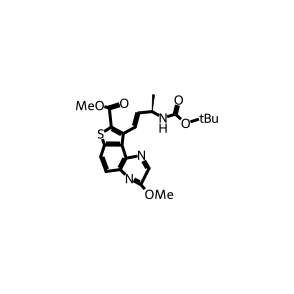 COC(=O)c1sc2ccc3nc(OC)cnc3c2c1/C=C/[C@@H](C)NC(=O)OC(C)(C)C